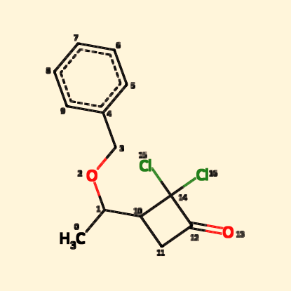 CC(OCc1ccccc1)C1CC(=O)C1(Cl)Cl